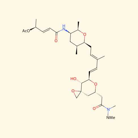 CNN(C)C(=O)C[C@@H]1C[C@@]2(CO2)[C@H](O)[C@@H](C=CC(C)=CC[C@@H]2O[C@H](C)[C@H](NC(=O)C=C[C@H](C)OC(C)=O)C[C@@H]2C)O1